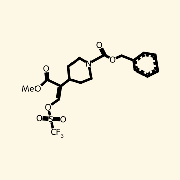 COC(=O)/C(=C\OS(=O)(=O)C(F)(F)F)C1CCN(C(=O)OCc2ccccc2)CC1